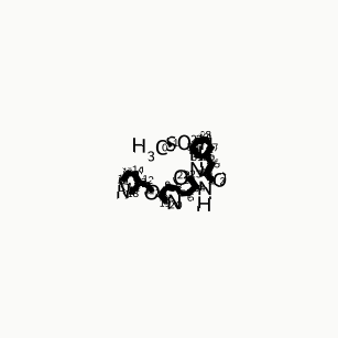 CS(=O)(=O)O.O=c1[nH]c(=Cc2ccc(OCc3cccnc3)cn2)c(=O)[nH]c1=Cc1ccccc1